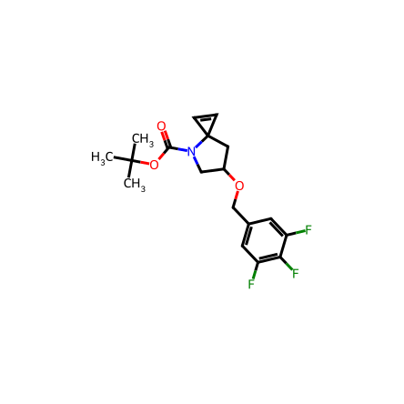 CC(C)(C)OC(=O)N1CC(OCc2cc(F)c(F)c(F)c2)CC12C=C2